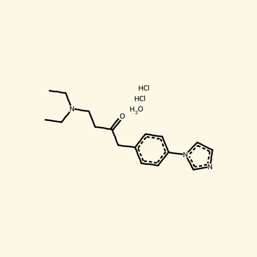 CCN(CC)CCC(=O)Cc1ccc(-n2ccnc2)cc1.Cl.Cl.O